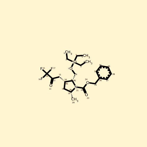 CC[Si](CC)(CC)OC[C@H]1[C@@H](CC(=O)C(F)(F)F)C[C@@H](C)N1C(=O)OCc1ccccc1